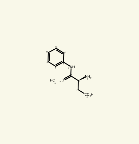 Cl.N[C@@H](CC(=O)O)C(=O)Nc1ccccc1